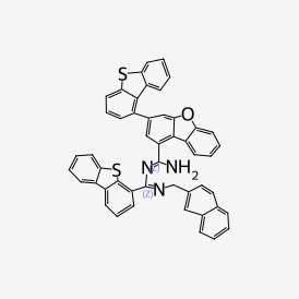 N/C(=N\C(=N/Cc1ccc2ccccc2c1)c1cccc2c1sc1ccccc12)c1cc(-c2cccc3sc4ccccc4c23)cc2oc3ccccc3c12